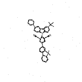 CC(C)(C)c1ccc2c(c1)c1cc(-c3ccccc3)ccc1n2-c1c(C#N)cc(-c2ccc3c(c2)C(C)(C)c2ccccc2-3)cc1C#N